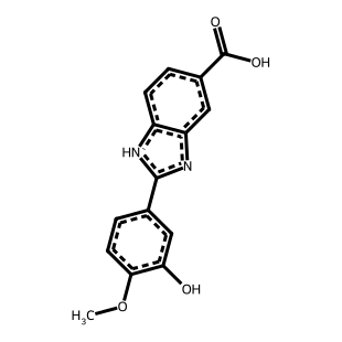 COc1ccc(-c2nc3cc(C(=O)O)ccc3[nH]2)cc1O